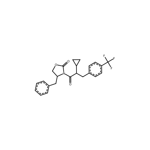 O=C1OCC(Cc2ccccc2)N1C(=O)C(Cc1ccc(C(F)(F)F)cc1)C1CC1